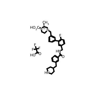 C[C@H]1CN(Cc2cccc(-c3cc(CNC(=O)c4cccc(CC5CCNCC5)c4)ccc3F)c2)CCN1C(=O)O.O=C(O)C(F)(F)F